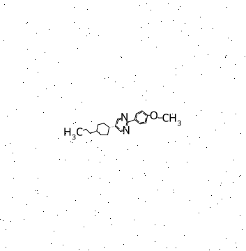 CCC[C@H]1CC[C@H](c2cnc(-c3ccc(OCC)cc3)nc2)CC1